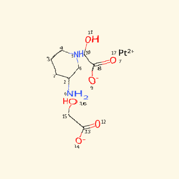 NC1CCCNC1.O=C([O-])CO.O=C([O-])CO.[Pt+2]